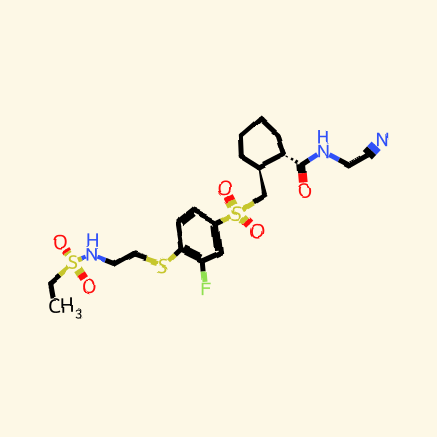 CCS(=O)(=O)NCCSc1ccc(S(=O)(=O)C[C@H]2CCCC[C@@H]2C(=O)NCC#N)cc1F